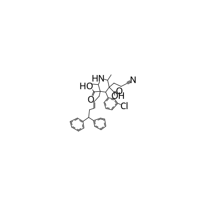 CC1NC(C)C(CCC#N)(C(=O)O)C(c2cccc(Cl)c2)C1(CC=CCC(c1ccccc1)c1ccccc1)C(=O)O